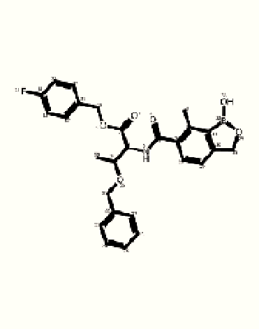 Cc1c(C(=O)N[C@H](C(=O)OCc2ccc(F)cc2)C(C)OCc2ccccc2)ccc2c1B(O)OC2